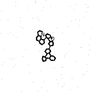 c1cnc2c(c1)ccc1cccc(-c3cccc4oc5ccc(-c6ccc7c8ccccc8c8ccccc8c7c6)cc5c34)c12